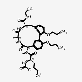 C[C@@H]1NC(=O)[C@@H](N(C)C(=O)[C@H](CCCO)NC(=O)Cl)c2ccc(OCCN)c(c2)-c2cc(ccc2OCCN)C[C@@H](C(=O)NCC#N)NC1=O